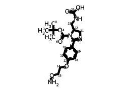 CC(C)(C)OC(=O)N1C(c2ccc(OCCON)cc2)=NCC1CNC(=O)O